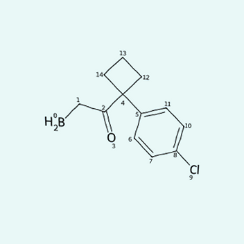 BCC(=O)C1(c2ccc(Cl)cc2)CCC1